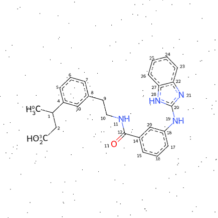 CC(CC(=O)O)c1cccc(CCNC(=O)c2cccc(Nc3nc4ccccc4[nH]3)c2)c1